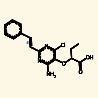 CCC(Oc1c(N)nc(/C=C/c2ccccc2)nc1Cl)C(=O)O